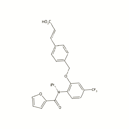 CC(C)N(C(=O)c1ccco1)c1ccc(C(F)(F)F)cc1OCc1ccc(C=CC(=O)O)cc1